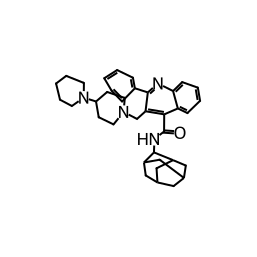 O=C(NC1C2CC3CC(C2)CC1C3)c1c(CN2CCC(N3CCCCC3)CC2)c(-c2ccccc2)nc2ccccc12